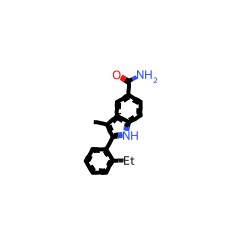 CCc1ccccc1-c1[nH]c2ccc(C(N)=O)cc2c1C